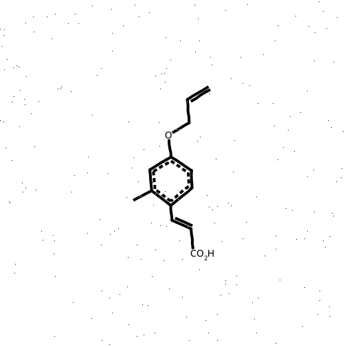 C=CCOc1ccc(/C=C/C(=O)O)c(C)c1